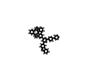 c1ccc(-c2ccc(-c3nc(-c4ccc5c(c4)-c4ccccc4C54c5ccccc5-c5ccccc5-c5ccccc54)cc(-c4ccc5oc6ccccc6c5c4)n3)cc2)cc1